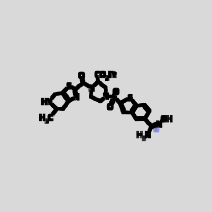 CCOC(=O)C1CN(S(=O)(=O)c2cc3cc(/C(N)=N\O)ccc3s2)CCN1C(=O)c1nc2c(s1)CNC(C)C2